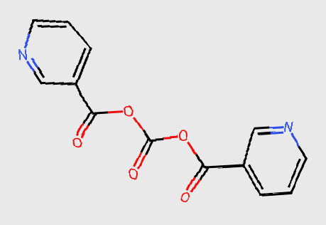 O=C(OC(=O)c1cccnc1)OC(=O)c1cccnc1